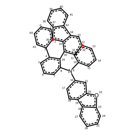 c1ccc(-c2cccc(N(c3ccccc3)c3ccc4c(c3)oc3ccccc34)c2-c2cccc3c2sc2ccccc23)cc1